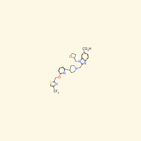 O=C(O)c1ccc2nc(CN3CCC(c4cccc(OCc5nc(C(F)(F)F)cs5)n4)CC3)n(CC3CCO3)c2c1